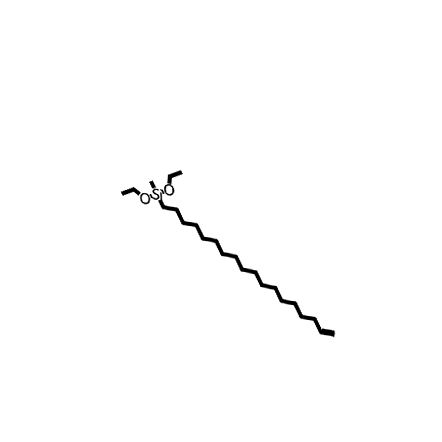 C=CCCCCCCCCCCCCCCCC[Si](C)(OCC)OCC